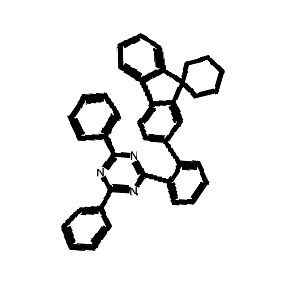 c1ccc(-c2nc(-c3ccccc3)nc(-c3ccccc3-c3ccc4c(c3)C3(CCCCC3)c3ccccc3-4)n2)cc1